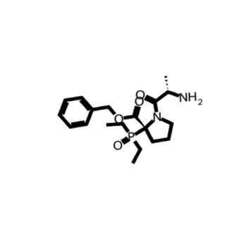 CCP(=O)(CC)[C@@]1(C(=O)OCc2ccccc2)CCCN1C(=O)[C@H](C)N